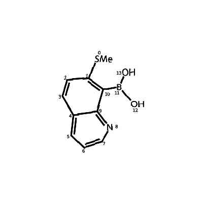 CSc1ccc2cccnc2c1B(O)O